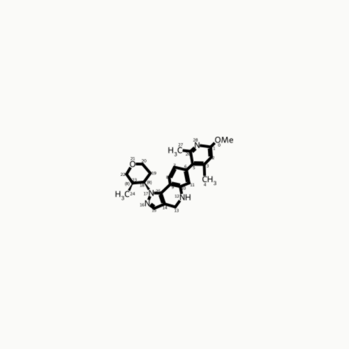 COc1cc(C)c(-c2ccc3c(c2)NCc2cnn([C@@H]4CCOC[C@@H]4C)c2-3)c(C)n1